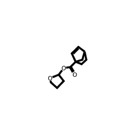 O=C(OC1CCCO1)C12C=CC(CC1)C2